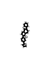 c1csc(-c2ccc3c(c2)oc2c3ccc3c2ccc2c4ccccc4sc23)c1